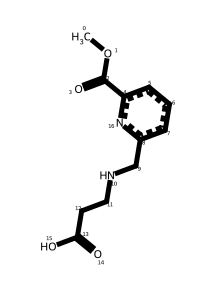 COC(=O)c1cccc(CNCCC(=O)O)n1